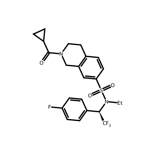 CCN([C@H](c1ccc(F)cc1)C(F)(F)F)S(=O)(=O)c1ccc2c(c1)CN(C(=O)C1CC1)CC2